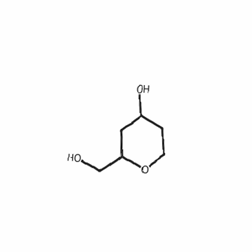 OCC1CC(O)CCO1